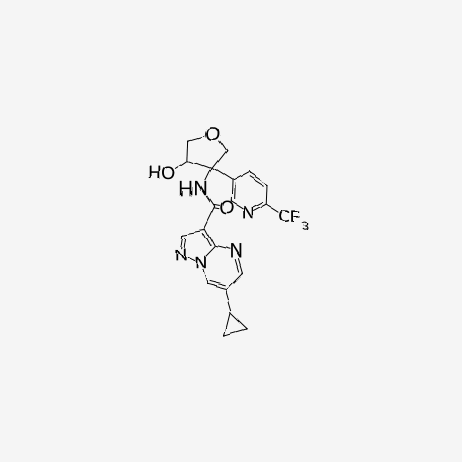 O=C(NC1(c2ccc(C(F)(F)F)nc2)COCC1O)c1cnn2cc(C3CC3)cnc12